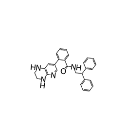 O=C(NCC(c1ccccc1)c1ccccc1)c1ccccc1-c1cnc2c(c1)NCCN2